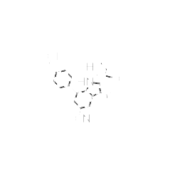 Cc1c(C(N)=O)[nH]c2c(-c3ccc(CO)cc3)cc(C#N)cc12